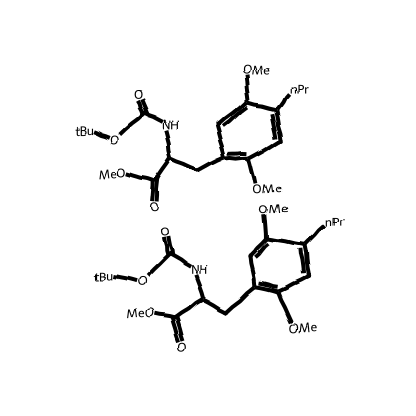 CCCc1cc(OC)c(CC(NC(=O)OC(C)(C)C)C(=O)OC)cc1OC.CCCc1cc(OC)c(CC(NC(=O)OC(C)(C)C)C(=O)OC)cc1OC